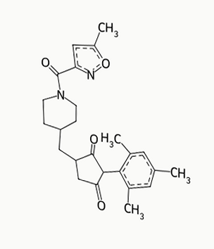 Cc1cc(C)c(C2C(=O)CC(CC3CCN(C(=O)c4cc(C)on4)CC3)C2=O)c(C)c1